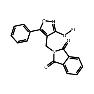 CCOc1noc(-c2ccccc2)c1CN1C(=O)c2ccccc2C1=O